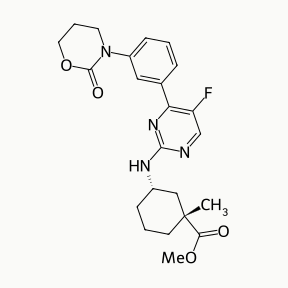 COC(=O)[C@]1(C)CCC[C@H](Nc2ncc(F)c(-c3cccc(N4CCCOC4=O)c3)n2)C1